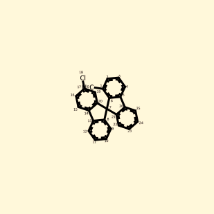 Cc1cccc2c1C1(c3ccccc3-c3ccc(Cl)cc31)c1ccccc1-2